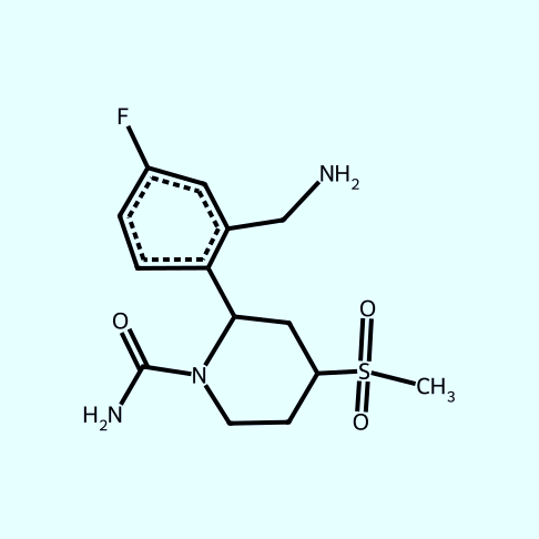 CS(=O)(=O)C1CCN(C(N)=O)C(c2ccc(F)cc2CN)C1